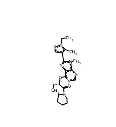 CC[C@H](Oc1ncnc2c1nc(-c1cnn(CC)c1C)n2C)C(=O)N1CCCCC1